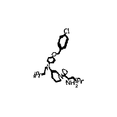 CC(C)CCN(c1ccc(OCc2ccc(Cl)cc2)cc1)C1CCCN(C(=O)[C@@H](N)CC(C)C)C1